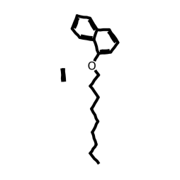 C=C.CCCCCCCCCOc1cccc2ccccc12